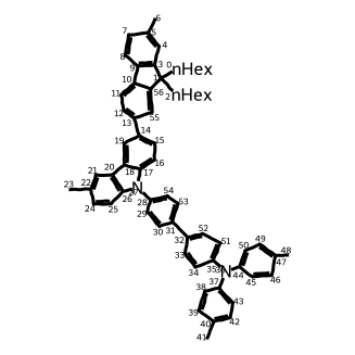 CCCCCCC1(CCCCCC)c2cc(C)ccc2-c2ccc(-c3ccc4c(c3)c3cc(C)ccc3n4-c3ccc(-c4ccc(N(c5ccc(C)cc5)c5ccc(C)cc5)cc4)cc3)cc21